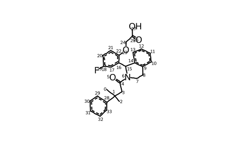 CC(C)(CC(=O)N1CCc2ccccc2C1c1cc(F)ccc1OCC(=O)O)c1ccccc1